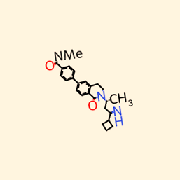 CNC(=O)c1ccc(-c2ccc3c(c2)CCN([C@H](C)CC(=N)C2CCC2)C3=O)cc1